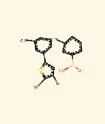 O=[N+]([O-])c1cccc(-c2cc(Br)c(Br)s2)c1.O=[N+]([O-])c1cccc(B(O)O)c1